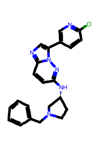 Clc1ccc(-c2cnc3ccc(N[C@@H]4CCN(Cc5ccccc5)C4)nn23)cn1